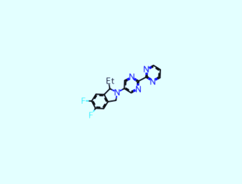 CCC1c2cc(F)c(F)cc2CN1c1cnc(-c2ncccn2)nc1